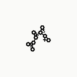 CC1(C)c2ccccc2-c2ccc(-c3cc(-n4c5ccccc5c5cc(-c6ccc7c(c6)c6ccccc6n7-c6ccccc6)ccc54)cc4c3sc3ccccc34)cc21